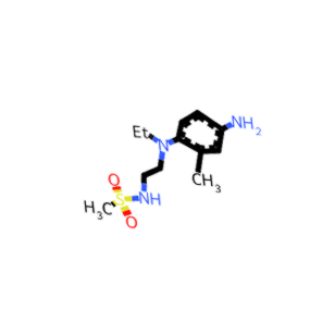 CCN(CCNS(C)(=O)=O)c1ccc(N)cc1C